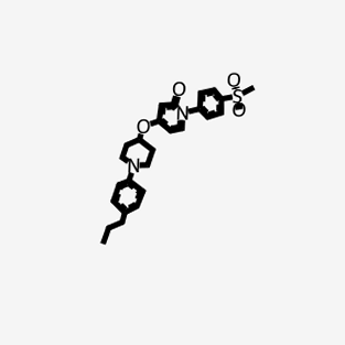 CCCc1ccc(N2CCC(Oc3ccn(-c4ccc(S(C)(=O)=O)cc4)c(=O)c3)CC2)cc1